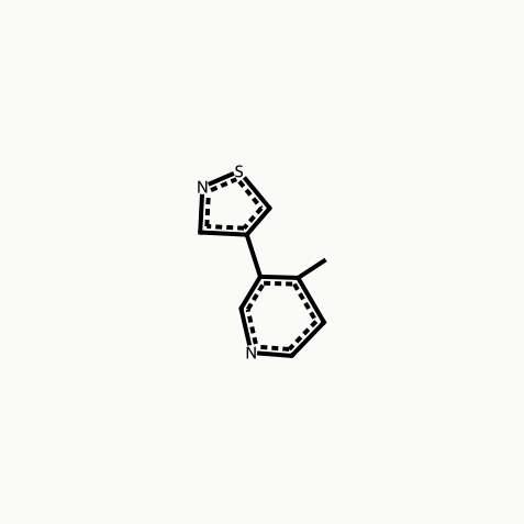 Cc1ccncc1-c1cnsc1